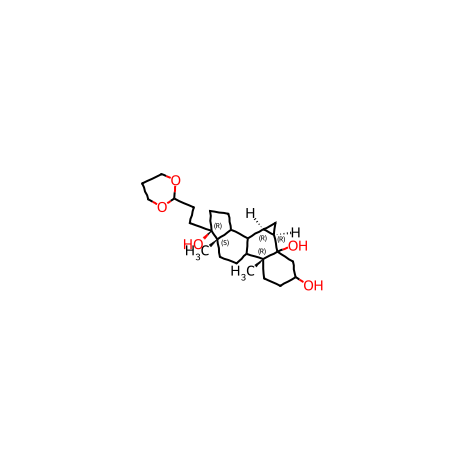 C[C@]12CCC3C(C1CC[C@@]2(O)CCC1OCCCO1)[C@H]1C[C@H]1C1(O)CC(O)CC[C@]31C